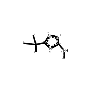 CNc1noc(C(C)(C)C)n1